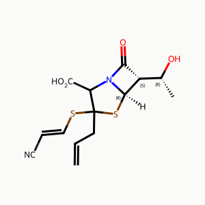 C=CCC1(SC=CC#N)S[C@@H]2[C@@H]([C@@H](C)O)C(=O)N2C1C(=O)O